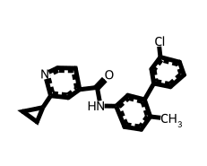 Cc1ccc(NC(=O)c2ccnc(C3CC3)c2)cc1-c1cccc(Cl)c1